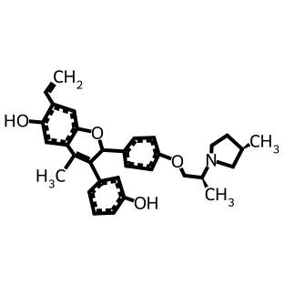 C=Cc1cc2c(cc1O)C(C)=C(c1cccc(O)c1)C(c1ccc(OC[C@H](C)N3CC[C@@H](C)C3)cc1)O2